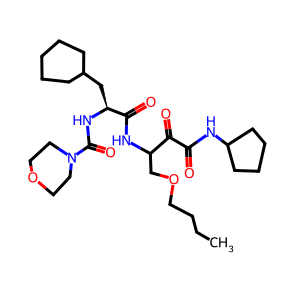 CCCCOCC(NC(=O)[C@H](CC1CCCCC1)NC(=O)N1CCOCC1)C(=O)C(=O)NC1CCCC1